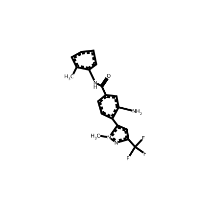 Cc1ccccc1NC(=O)c1ccc(-c2cc(C(F)(F)F)nn2C)c(N)c1